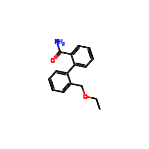 CCOCc1ccccc1-c1ccccc1C(N)=O